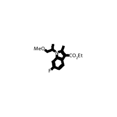 CCOC(=O)c1c(C)n(C(C)COC)c2cc(F)ccc12